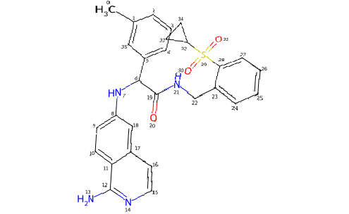 Cc1cccc(C(Nc2ccc3c(N)nccc3c2)C(=O)NCc2ccccc2S(=O)(=O)C2CC2)c1